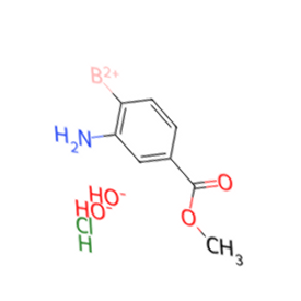 Cl.[B+2]c1ccc(C(=O)OC)cc1N.[OH-].[OH-]